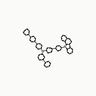 c1ccc(-c2ccc(-c3ccc(N(c4ccc(-c5ccc(-n6c7ccccc7c7ccc8ccccc8c76)cc5)cc4)c4cccc(-c5ccccc5)c4)cc3)cc2)cc1